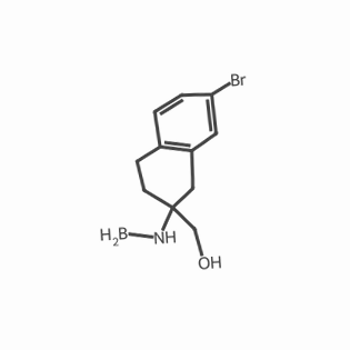 BNC1(CO)CCc2ccc(Br)cc2C1